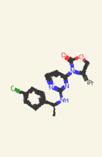 CC(C)C1COC(=O)N1c1ccnc(N[C@@H](C)c2ccc(Cl)cc2)n1